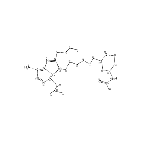 CCCCc1nc2c(N)nnc(OC(C)C)c2n1CCCCCCC1CC(NC(C)=O)CCO1